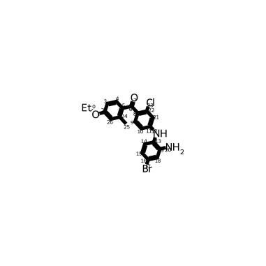 CCOc1ccc(C(=O)c2ccc(Nc3ccc(Br)cc3N)cc2Cl)c(C)c1